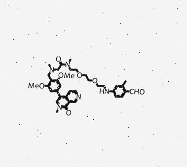 COc1cc(-c2cn(C)c(=O)c3cnccc23)cc(OC)c1CN(C)CC(=O)N(C)CCOCCOCCNc1ccc(C=O)c(C)c1